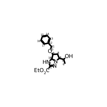 CCOC(=O)C1=NN2C(C(C)O)CC(OCc3ccccc3)C2N1